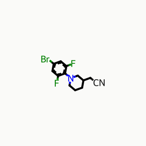 N#CCC1CCCN(c2c(F)cc(Br)cc2F)C1